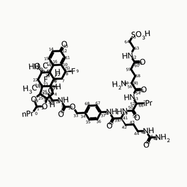 CCCC1O[C@@H]2C[C@H]3[C@@H]4C[C@H](F)C5=CC(=O)C=C[C@]5(C)[C@@]4(F)[C@@H](O)C[C@]3(C)[C@]2(C(=O)CNC(=O)OCc2ccc(NC(=O)[C@H](CCCNC(N)=O)NC(=O)C(NC(=O)[C@H](N)CCC(=O)NCCS(=O)(=O)O)C(C)C)cc2)O1